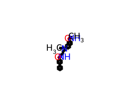 CCCN(CCCCNC(=O)c1ccc(-c2ccccc2)cc1)[C@H]1CCc2ccc(C(=O)NC)cc2C1